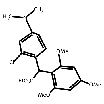 CCOC(=O)C(c1ccc(N(C)C)cc1Cl)c1c(OC)cc(OC)cc1OC